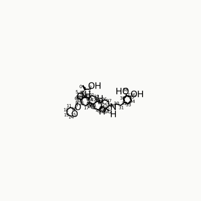 C=C(CO)[C@@H]1CC[C@]2(COC3CCCCO3)CC[C@]3(C)[C@H](CC[C@@H]4[C@@]5(C)CCC(NCCc6ccc(O)c(O)c6)C(C)(C)[C@@H]5CC[C@]43C)[C@@H]12